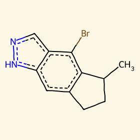 CC1CCc2cc3[nH]ncc3c(Br)c21